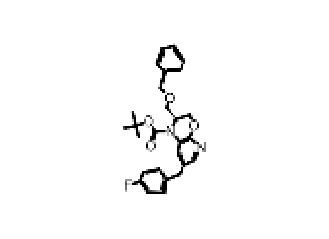 CC(C)(C)OC(=O)N1c2cc(Cc3ccc(F)cc3)cnc2OC[C@@H]1COCc1ccccc1